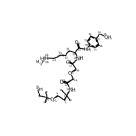 CC(C)(CCOC(C)(C)CS)NC(=O)COCC(=O)NC(CCCCNP)C(=O)Nc1ccc(CO)cc1